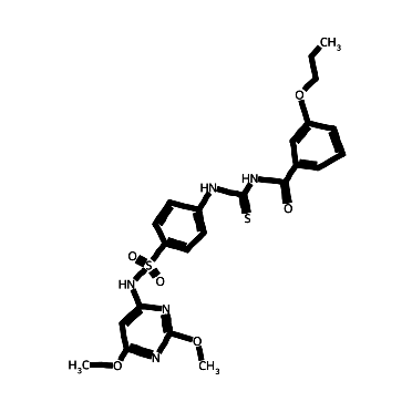 CCCOc1cccc(C(=O)NC(=S)Nc2ccc(S(=O)(=O)Nc3cc(OC)nc(OC)n3)cc2)c1